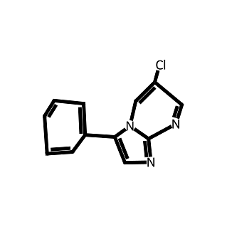 Clc1cnc2ncc(-c3ccccc3)n2c1